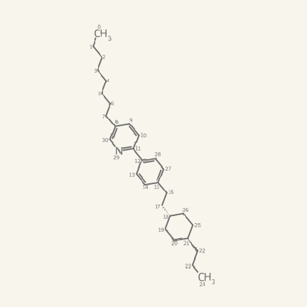 CCCCCCCCc1ccc(-c2ccc(CC[C@H]3CC[C@H](CCC)CC3)cc2)nc1